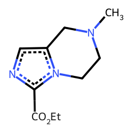 CCOC(=O)c1ncc2n1CCN(C)C2